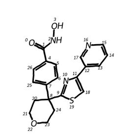 O=C(NO)c1ccc(C2(c3nc(-c4cccnc4)cs3)CCOCC2)cc1